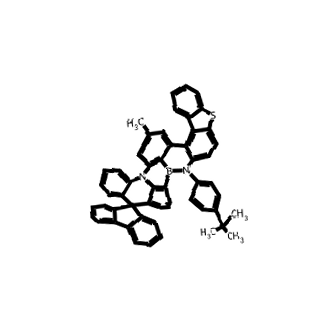 Cc1cc2c3c(c1)N1c4ccccc4C4(c5ccccc5-c5ccccc54)c4cccc(c41)B3N(c1ccc(C(C)(C)C)cc1)c1ccc3sc4ccccc4c3c1-2